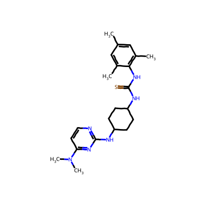 Cc1cc(C)c(NC(=S)NC2CCC(Nc3nccc(N(C)C)n3)CC2)c(C)c1